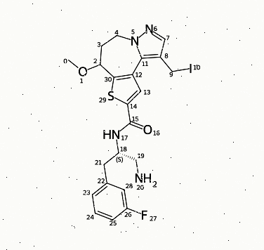 COC1CCn2ncc(CI)c2-c2cc(C(=O)N[C@H](CN)Cc3cccc(F)c3)sc21